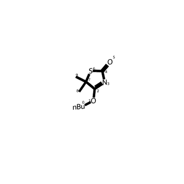 CCCCOC1=NC(=O)SC1(C)C